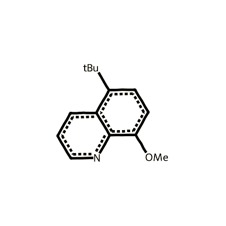 COc1ccc(C(C)(C)C)c2cccnc12